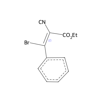 [C-]#[N+]/C(C(=O)OCC)=C(\Br)c1ccccc1